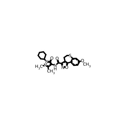 COc1ccc2c(c1)SCCc1c(C(=O)Nc3c(C)n(C)n(C4CCCCC4)c3=O)noc1-2